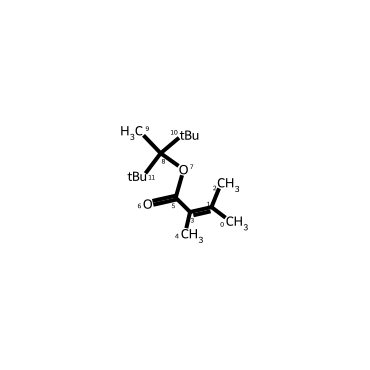 CC(C)=C(C)C(=O)OC(C)(C(C)(C)C)C(C)(C)C